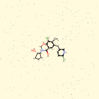 Cc1c(Cc2ccc(Cl)nc2)cc2c(c1Cl)OCN(C1CCC[C@@H]1O)C2=O